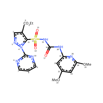 CCOC(=O)c1cnn(-c2ncccn2)c1S(=O)(=O)NC(=O)Nc1cc(OC)cc(OC)n1